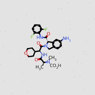 C[C@@H](C(=O)N[C@H](C(=O)N1Cc2ccc(N)cc2[C@H]1C(=O)Nc1c(F)cccc1F)C1CCOCC1)N(C)C(=O)O